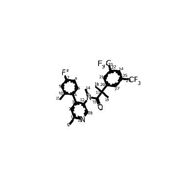 Cc1cc(-c2ccc(F)cc2C)c(N(C)C(=O)C(C)(C)c2cc(C(F)(F)F)cc(C(F)(F)F)c2)cn1